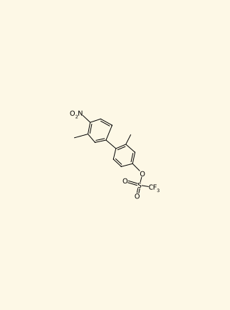 Cc1cc(OS(=O)(=O)C(F)(F)F)ccc1-c1ccc([N+](=O)[O-])c(C)c1